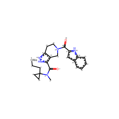 COCCC1(N(C)C(=O)c2[nH]nc3c2CN(C(=O)c2cc4ccccc4[nH]2)CC3)CC1